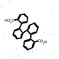 O=C(O)c1ccccc1-c1ccccc1-c1ccccc1-c1ccccc1C(=O)O